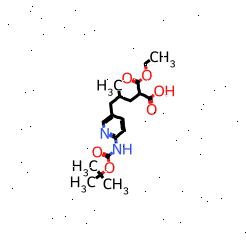 CCOC(=O)C(CC(C)Cc1ccc(NC(=O)OC(C)(C)C)nc1)C(=O)O